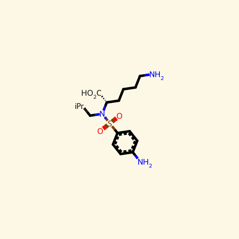 CC(C)CN([C@@H](CCCCN)C(=O)O)S(=O)(=O)c1ccc(N)cc1